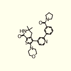 CC1(C)Cc2c(sc(N3CCOCC3)c2-c2ccnc(-c3cccc(C(=O)N4CCCC4)c3)c2)C(=O)N1